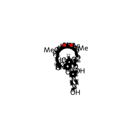 CO[C@@H]1[C@@H](C)[C@@H](O)[C@@H](C)[C@H](OC(C)=O)[C@H](C)[C@@H](OC)/C=C/O[C@@]2(C)Oc3c(C)c(O)c4c(=O)c(c5oc6cc(N7CCN(CCO)CC7)cc(O)c6nc-5c4c3C2=O)NC(=O)/C(C)=C\C=C\[C@@H]1C